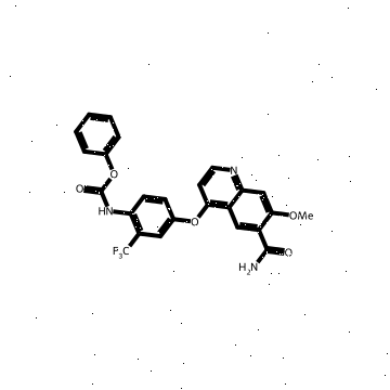 COc1cc2nccc(Oc3ccc(NC(=O)Oc4ccccc4)c(C(F)(F)F)c3)c2cc1C(N)=O